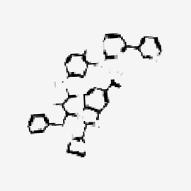 CNC(=O)c1ccc2c(c1)nc(-c1nccs1)n2C(Cc1ccccc1)C(O)C(=O)Nc1ccc(C)c(Nc2nccc(-c3cccnc3)n2)c1.Cl